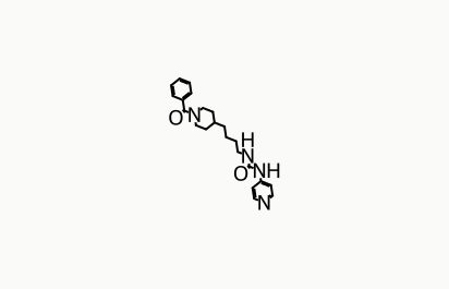 O=C(NCCCCC1CCN(C(=O)c2ccccc2)CC1)Nc1ccncc1